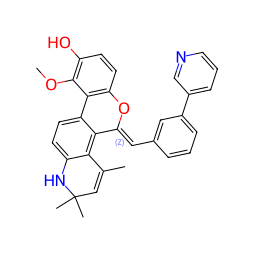 COc1c(O)ccc2c1-c1ccc3c(c1/C(=C/c1cccc(-c4cccnc4)c1)O2)C(C)=CC(C)(C)N3